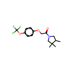 CC1CN(C(=O)COc2ccc(OC(F)(F)F)cc2)CC1(C)C